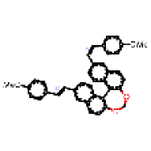 COc1ccc(/C=C\c2ccc3c4c(ccc3c2)OCOc2ccc3cc(/C=C/c5ccc(OC)cc5)ccc3c2-4)cc1